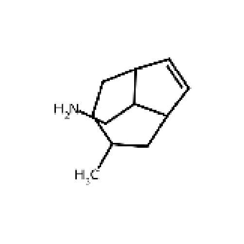 CC1CCC2C=CC(C1)C2CN